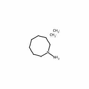 NN1[CH]CCCCCC1.[CH2].[CH2]